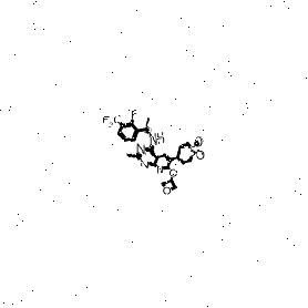 Cc1nc(N[C@H](C)c2cccc(C(F)(F)F)c2F)c2cc(C3CCS(=O)(=O)CC3)c(OC3COC3)nc2n1